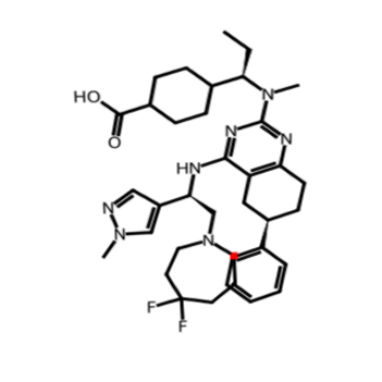 CC[C@H](C1CCC(C(=O)O)CC1)N(C)c1nc2c(c(N[C@@H](CN3CCCC(F)(F)CC3)c3cnn(C)c3)n1)C[C@H](c1ccccc1)CC2